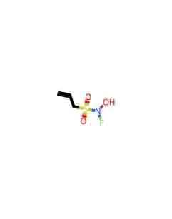 C=CCS(=O)(=O)N(O)F